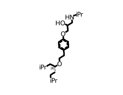 CC(C)CC[C@H](CC(C)C)OCCc1ccc(OCC(O)CNC(C)C)cc1